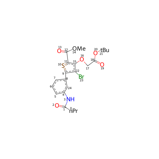 CCCC(=O)Nc1cccc(-c2sc(C(=O)OC)c(OCC(=O)OC(C)(C)C)c2Br)c1